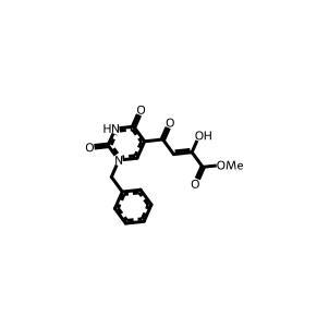 COC(=O)C(O)=CC(=O)c1cn(Cc2ccccc2)c(=O)[nH]c1=O